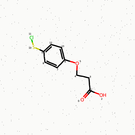 O=C(O)CCOc1ccc(SCl)cc1